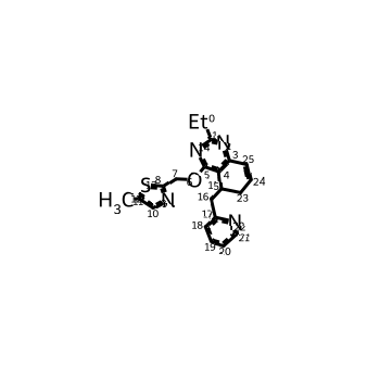 CCc1nc2c(c(OCc3ncc(C)s3)n1)C(Cc1ccccn1)CC=C2